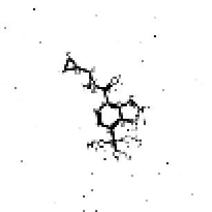 CC(C)(C)c1ccc(C(=O)NCC2CC2)c2cn[nH]c12